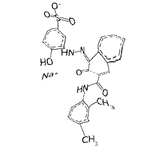 Cc1ccc(NC(=O)C2=Cc3ccccc3/C(=N/Nc3cc(S(=O)(=O)[O-])ccc3O)C2=O)c(C)c1.[Na+]